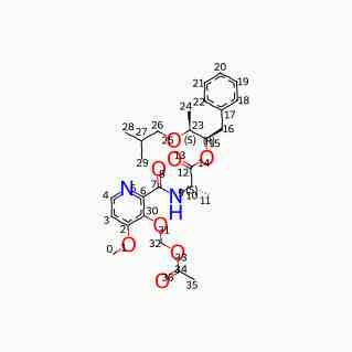 COc1ccnc(C(=O)N[C@@H](C)C(=O)O[C@H](Cc2ccccc2)[C@H](C)OCC(C)C)c1OCOC(C)=O